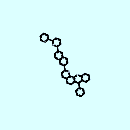 c1ccc(-c2c3ccccc3nc3c2ccc2ccc(-c4ccc5cc(-c6cccc(-c7ccccn7)n6)ccc5c4)nc23)cc1